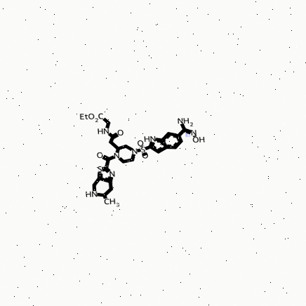 CCOC(=O)CNC(=O)CC1CN(S(=O)(=O)c2cc3ccc(/C(N)=N\O)cc3[nH]2)CCN1C(=O)c1nc2c(s1)CNC(C)C2